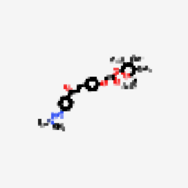 CC(=O)OC[C@@H]1O[C@H](OC(=O)COc2ccc(/C=C/C(=O)c3ccc(/N=N/N(C)C)cc3)cc2)[C@@H](OC(C)=O)[C@H](OC(C)=O)[C@H]1OC(C)=O